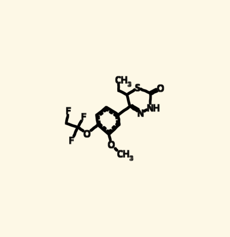 CCC1SC(=O)NN=C1c1ccc(OC(F)(F)CF)c(OC)c1